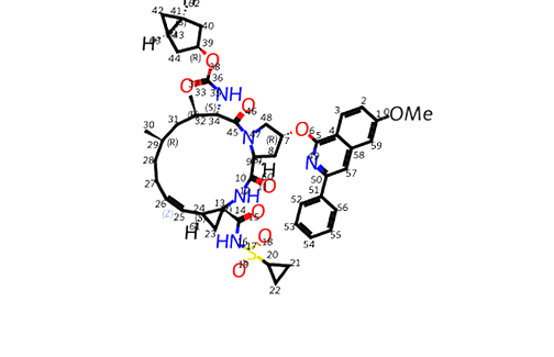 COc1ccc2c(O[C@@H]3C[C@H]4C(=O)N[C@]5(C(=O)NS(=O)(=O)C6CC6)C[C@H]5/C=C\CC[C@@H](C)C[C@@H](C)[C@H](NC(=O)O[C@@H]5C[C@@H]6C[C@@H]6C5)C(=O)N4C3)nc(-c3ccccc3)cc2c1